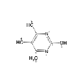 O.Oc1ncc(O)c(O)n1